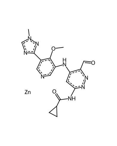 COc1c(Nc2cc(NC(=O)C3CC3)nnc2C=O)cncc1-c1ncn(C)n1.[Zn]